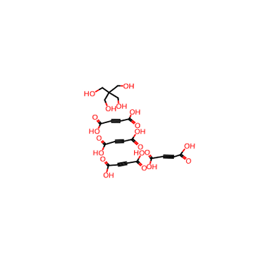 O=C(O)C#CC(=O)O.O=C(O)C#CC(=O)O.O=C(O)C#CC(=O)O.O=C(O)C#CC(=O)O.OCC(CO)(CO)CO